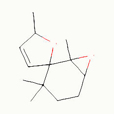 CC1C=CC2(O1)C(C)(C)CCC1OC12C